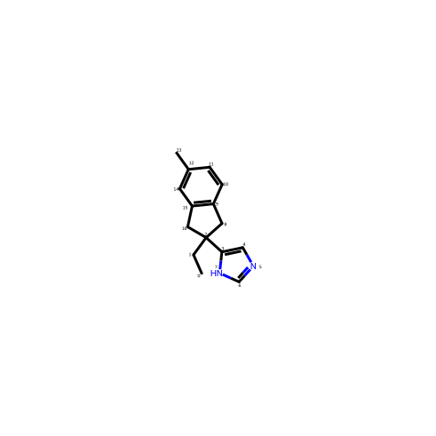 CCC1(c2cnc[nH]2)Cc2ccc(C)cc2C1